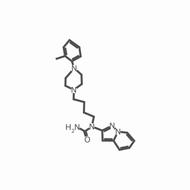 Cc1ccccc1N1CCN(CCCCN(C(N)=O)c2cc3ccccn3n2)CC1